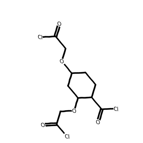 O=C(Cl)COC1CCC(C(=O)Cl)C(OCC(=O)Cl)C1